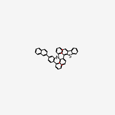 c1ccc(-c2ccc(-c3ccc4ccccc4c3)cc2N(c2ccccc2)c2ccccc2-c2cccc3c2sc2ccccc23)cc1